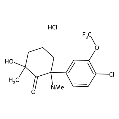 CNC1(c2ccc(Cl)c(OC(F)(F)F)c2)CCCC(C)(O)C1=O.Cl